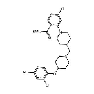 COC(=O)c1ccc(Cl)cc1N1CCC(CN2CCC(Oc3ccc(C#N)cc3Cl)CC2)CC1